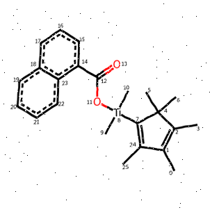 CC1=C(C)C(C)(C)[C]([Ti]([CH3])([CH3])[O]C(=O)c2cccc3ccccc23)=C1C